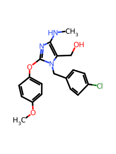 CNc1nc(Oc2ccc(OC)cc2)n(Cc2ccc(Cl)cc2)c1CO